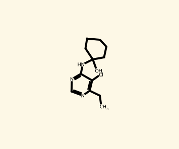 CCc1ncnc(NC2(O)CCCCC2)c1Cl